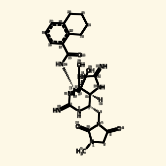 CN1CC(=O)N(C[C@@H]2NC(=N)N3C[C@H](NC(=O)c4cccc5c4CCCC5)C(O)(O)[C@@]34NC(=N)N[C@@H]24)C1=O